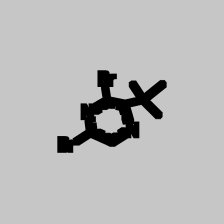 CC(C)(C)c1ncc(Br)nc1Br